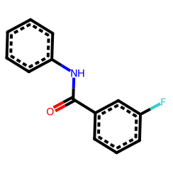 O=C(Nc1ccccc1)c1cccc(F)c1